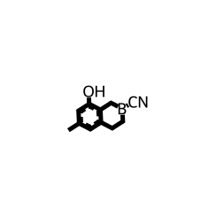 Cc1cc(O)c2c(c1)CCB(C#N)C2